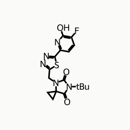 CC(C)(C)N1C(=O)N(Cc2nnc(-c3ccc(F)c(O)n3)s2)C2(CC2)C1=O